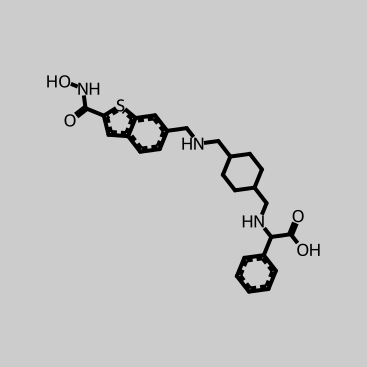 O=C(NO)c1cc2ccc(CNCC3CCC(CNC(C(=O)O)c4ccccc4)CC3)cc2s1